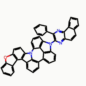 c1ccc(-c2nc3c(ccc4ccccc43)nc2-n2c3cccc4c5cccc6c7c8c(ccc7n(c7cccc2c7c43)c56)oc2ccccc28)cc1